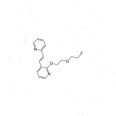 FCCOCCOc1ncccc1/C=C/c1cc[c]cn1